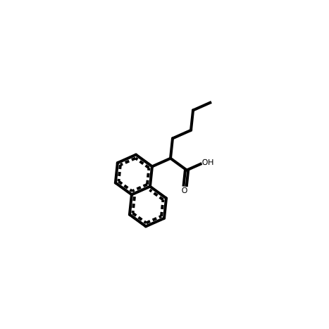 CCCCC(C(=O)O)c1cccc2ccccc12